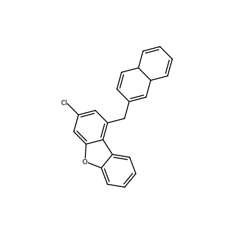 Clc1cc(CC2=CC3C=CC=CC3C=C2)c2c(c1)oc1ccccc12